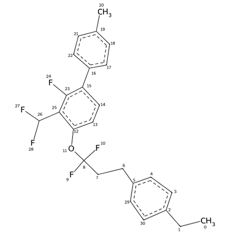 CCc1ccc(CCC(F)(F)Oc2ccc(-c3ccc(C)cc3)c(F)c2C(F)F)cc1